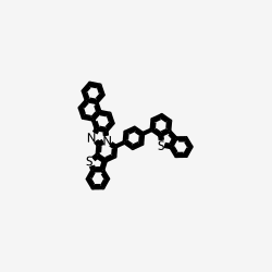 c1ccc2c(c1)ccc1c2ccc2c1nc1c3sc4ccccc4c3cc(-c3ccc(-c4cccc5c4sc4ccccc45)cc3)n21